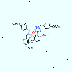 C#Cc1ccc(C(F)(F)F)c(S(=O)(=O)N(Cc2ccc(OC)cc2)Cc2ccc(OC)cc2)c1-c1nnn(Cc2ccc(OC)cc2)n1